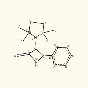 C[Si]1(C)CC[Si](C)(C)N1[C@H]1C(=O)N[C@@H]1c1ccccn1